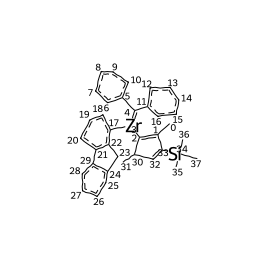 CC1=[C]([Zr](=[C](c2ccccc2)c2ccccc2)[c]2cccc3c2Cc2ccccc2-3)C(C)C=C1[Si](C)(C)C